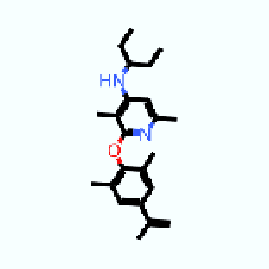 C=C(C)c1cc(C)c(Oc2nc(C)cc(NC(CC)CC)c2C)c(C)c1